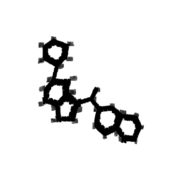 CC(c1ccc2ncccc2c1)n1cnc2ncc(-c3ccccc3)nc21